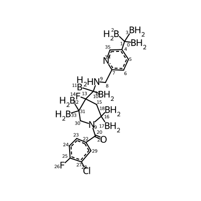 BC(B)(B)c1ccc(CNC(B)(B)C2(F)CC(B)(B)N(C(=O)c3ccc(F)c(Cl)c3)CC2(B)B)nc1